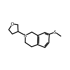 CSc1ccc2c(c1)CN(C1CCOC1)CC2